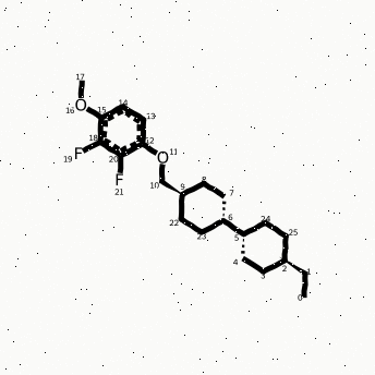 CC[C@H]1CC[C@H]([C@H]2CC[C@H](COc3ccc(OC)c(F)c3F)CC2)CC1